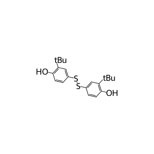 CC(C)(C)c1cc(SSc2ccc(O)c(C(C)(C)C)c2)ccc1O